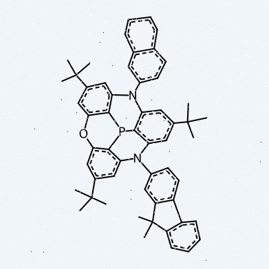 CC(C)(C)c1cc2c3c(c1)N(c1ccc4c(c1)C(C)(C)c1ccccc1-4)c1cc(C(C)(C)C)cc4c1P3c1c(cc(C(C)(C)C)cc1N4c1ccc3ccccc3c1)O2